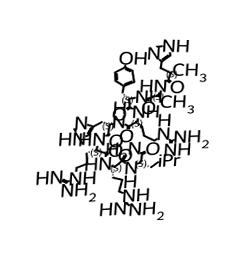 CC(C)C[C@H](NC(=O)[C@H](CCCNC(=N)N)NC(=O)[C@H](CCCNC(=N)N)NC(=O)[C@H](Cc1c[nH]cn1)NC(=O)[C@H](CCCNC(=N)N)NC(=O)[C@H](Cc1ccc(O)cc1)NC(=O)[C@H](C)NC(=O)[C@@H](C)Cc1c[nH]cn1)C(N)=O